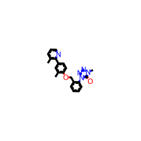 Cc1cc(-c2ncccc2C)ccc1OCc1ccccc1-n1nnn(C)c1=O